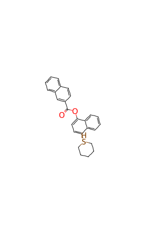 O=C(Oc1ccc([SH]2CCCCC2)c2ccccc12)c1ccc2ccccc2c1